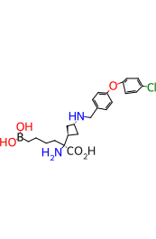 N[C@](CCCCB(O)O)(C(=O)O)[C@H]1C[C@H](NCc2ccc(Oc3ccc(Cl)cc3)cc2)C1